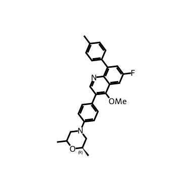 COc1c(-c2ccc(N3CC(C)O[C@H](C)C3)cc2)cnc2c(-c3ccc(C)cc3)cc(F)cc12